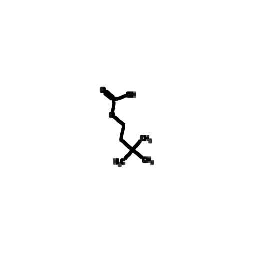 CC(C)(C)CCO[P](=O)O